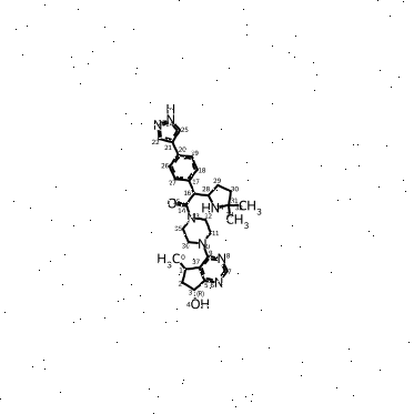 CC1C[C@@H](O)c2ncnc(N3CCN(C(=O)C(c4ccc(-c5cn[nH]c5)cc4)C4CCC(C)(C)N4)CC3)c21